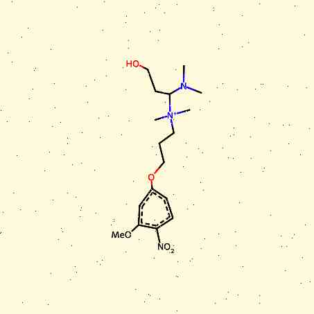 COc1cc(OCCC[N+](C)(C)C(CCO)N(C)C)ccc1[N+](=O)[O-]